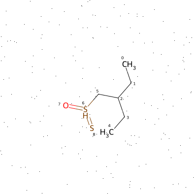 CCC(CC)C[SH](=O)=S